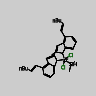 CCCCC=Cc1cccc2c1C=C(C)[CH]2[Zr]([Cl])([Cl])([CH]1C(C)=Cc2c(C=CCCCC)cccc21)[SiH](C)C